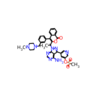 C[C@@H](c1oc(=O)c2ccccc2c1-c1cccc(CN2CCN(C)CC2)c1)n1nc(-c2cncc(OS(C)(=O)=O)c2)c2c(N)ncnc21